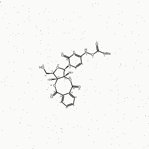 CNC(=O)ONc1ccn([C@@H]2O[C@H](CO)[C@H]3OC(=O)c4ccccc4C(=O)O[C@H]32)c(=O)n1